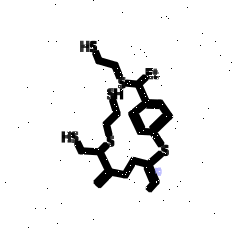 C=C(CC/C(=C\C)Sc1ccc(C(CC)SCCS)cc1)C(CS)SCCS